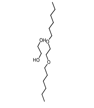 CCCCCCOCCOCCCCCC.OCCO